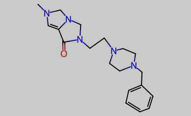 CN1C=C2C(=O)N(CCN3CCN(Cc4ccccc4)CC3)CN2C1